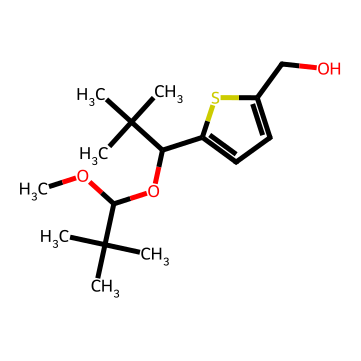 COC(OC(c1ccc(CO)s1)C(C)(C)C)C(C)(C)C